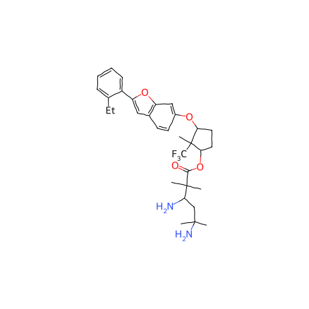 CCc1ccccc1-c1cc2ccc(OC3CCC(OC(=O)C(C)(C)C(N)CC(C)(C)N)C3(C)C(F)(F)F)cc2o1